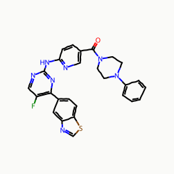 O=C(c1ccc(Nc2ncc(F)c(-c3ccc4scnc4c3)n2)nc1)N1CCN(c2ccccc2)CC1